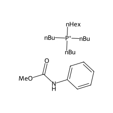 CCCCCC[P+](CCCC)(CCCC)CCCC.COC(=O)Nc1ccccc1